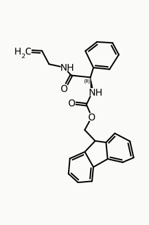 C=CCNC(=O)[C@H](NC(=O)OCC1c2ccccc2-c2ccccc21)c1ccccc1